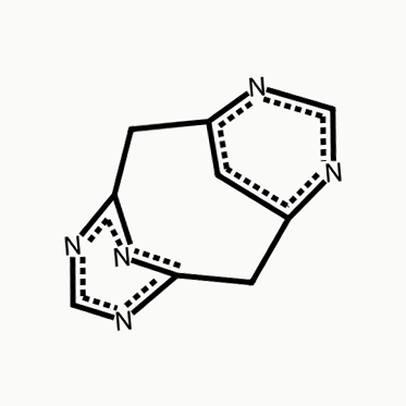 c1nc2cc(n1)Cc1ncnc(n1)C2